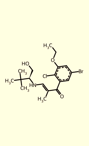 CCOc1cc(Br)cc(C(=O)C(C)=CN[C@H](CO)C(C)(C)C)c1Cl